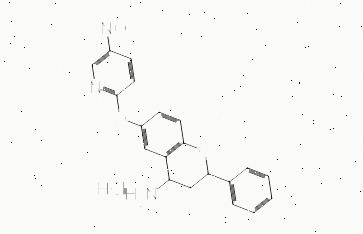 Cl.NC1CC(c2ccccc2)Oc2ccc(Oc3ccc([N+](=O)[O-])cn3)cc21